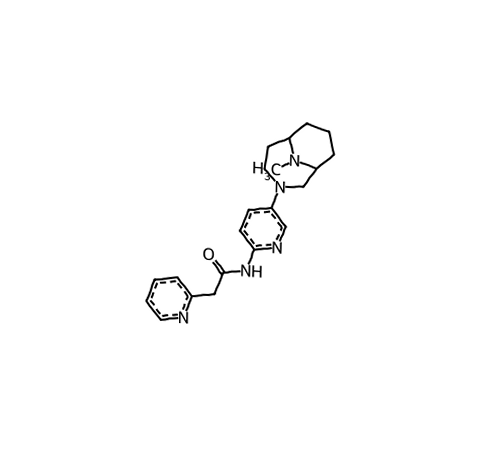 CN1C2CCCC1CN(c1ccc(NC(=O)Cc3ccccn3)nc1)CC2